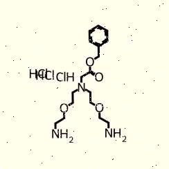 Cl.Cl.Cl.NCCOCCN(CCOCCN)CC(=O)OCc1ccccc1